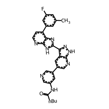 CCCCC(=O)Nc1cncc(-c2cnc3[nH]nc(-c4nc5c(-c6cc(C)cc(F)c6)ccnc5[nH]4)c3c2)c1